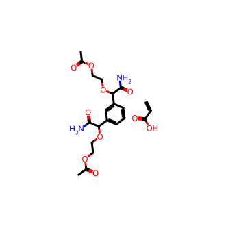 C=CC(=O)O.CC(=O)OCCOC(C(N)=O)c1cccc(C(OCCOC(C)=O)C(N)=O)c1